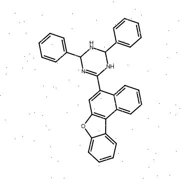 c1ccc(C2N=C(c3cc4oc5ccccc5c4c4ccccc34)NC(c3ccccc3)N2)cc1